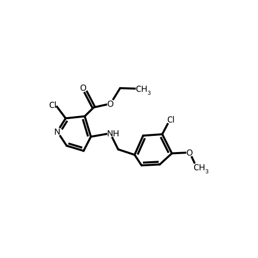 CCOC(=O)c1c(NCc2ccc(OC)c(Cl)c2)ccnc1Cl